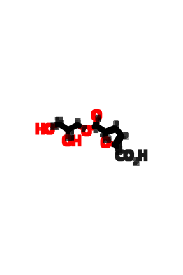 O=C(O)c1ccc(C(=O)OCC(O)CO)o1